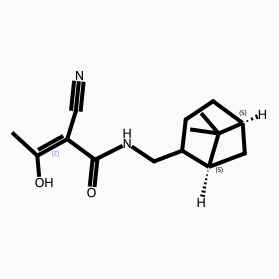 C/C(O)=C(\C#N)C(=O)NCC1CC[C@H]2C[C@@H]1C2(C)C